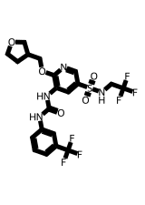 O=C(Nc1cccc(C(F)(F)F)c1)Nc1cc(S(=O)(=O)NCC(F)(F)F)cnc1OCC1CCOC1